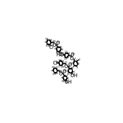 Cc1ccccc1COC(=O)c1ccc(O)cc1.O=C(OCc1ccc(Cl)cc1)c1ccc(O)cc1.O=C(OCc1ccccc1)c1ccc(O)cc1.O=C(OCc1ccccc1Cl)c1ccc(O)cc1